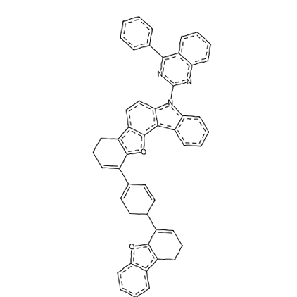 C1=CC(C2=CCCc3c2oc2ccccc32)CC=C1C1=CCCc2c1oc1c2ccc2c1c1ccccc1n2-c1nc(-c2ccccc2)c2ccccc2n1